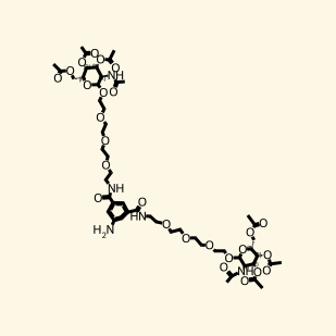 CC(=O)N[C@H]1C(OCCOCCOCCOCCNC(=O)c2cc(N)cc(C(=O)NCCOCCOCCOCCOC3O[C@H](COC(C)=O)[C@H](OC(C)=O)[C@H](OC(C)=O)[C@H]3NC(C)=O)c2)O[C@H](COC(C)=O)[C@H](OC(C)=O)[C@@H]1OC(C)=O